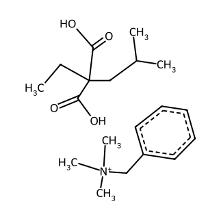 CCC(CC(C)C)(C(=O)O)C(=O)O.C[N+](C)(C)Cc1ccccc1